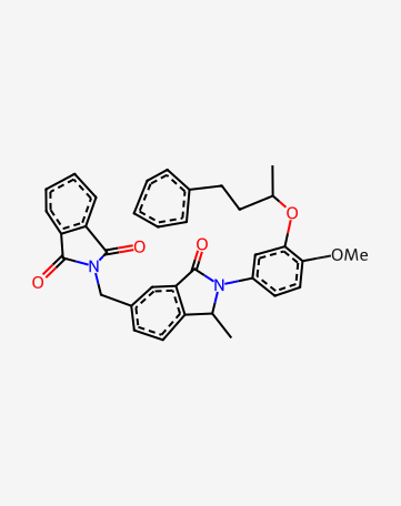 COc1ccc(N2C(=O)c3cc(CN4C(=O)c5ccccc5C4=O)ccc3C2C)cc1OC(C)CCc1ccccc1